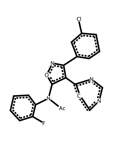 CC(=O)N(c1ccccc1F)c1onc(-c2cccc(Cl)c2)c1-c1ccncn1